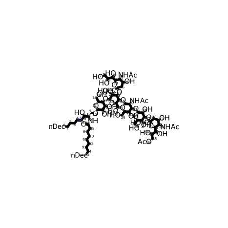 CCCCCCCCCCCCC/C=C/[C@@H](O)[C@H](CO[C@@H]1OC(CO)[C@@H](O[C@@H]2OC(CO)[C@H](O[C@@H]3OC(CO)[C@H](O)[C@H](O[C@@H]4OC(CO)[C@H](O)[C@H](O[C@]5(C(=O)O)CC(O)[C@@H](NC(C)=O)C([C@H](O)[C@H](O)COC(C)=O)O5)C4O)C3NC(C)=O)[C@H](O[C@]3(C(=O)O)CC(O)[C@@H](NC(C)=O)C([C@H](O)[C@H](O)CO)O3)C2O)[C@H](O)C1O)NC(=O)CCCCCCCCCCCCCCCCC